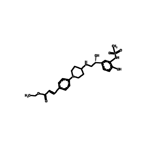 CCOC(=O)C=Cc1ccc(N2CCC(NC[C@H](O)c3ccc(O)c(NS(C)(=O)=O)c3)CC2)cc1